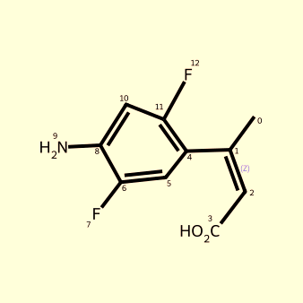 C/C(=C/C(=O)O)c1cc(F)c(N)cc1F